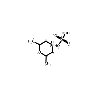 CC1CNCC(C)O1.O=S(=O)(O)O